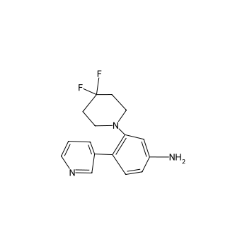 Nc1ccc(-c2cccnc2)c(N2CCC(F)(F)CC2)c1